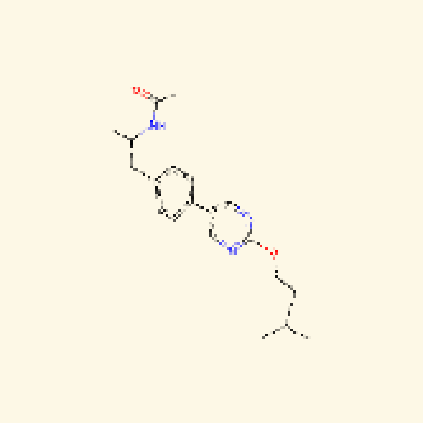 CC(=O)NC(C)Cc1ccc(-c2cnc(OCCC(C)C)nc2)cc1